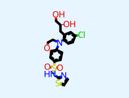 O=S(=O)(Nc1nccs1)c1ccc2c(c1)OCCN2c1ccc(Cl)cc1C[C@@H](O)CO